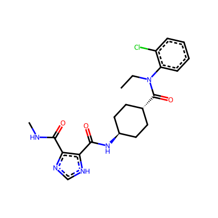 CCN(c1ccccc1Cl)C(=O)[C@H]1CC[C@H](NC(=O)c2[nH]cnc2C(=O)NC)CC1